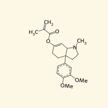 C=C(C)C(=O)OC1=CC2N(C)CCC2(c2ccc(OC)c(OC)c2)CC1